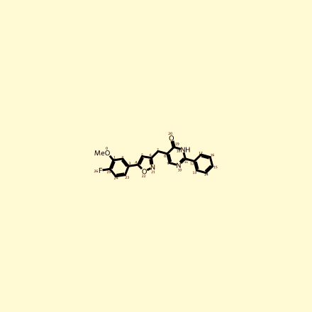 COc1cc(-c2cc(Cc3cnc(-c4ccccc4)[nH]c3=O)no2)ccc1F